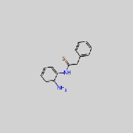 Nc1ccccc1NC(=S)Cc1ccccc1